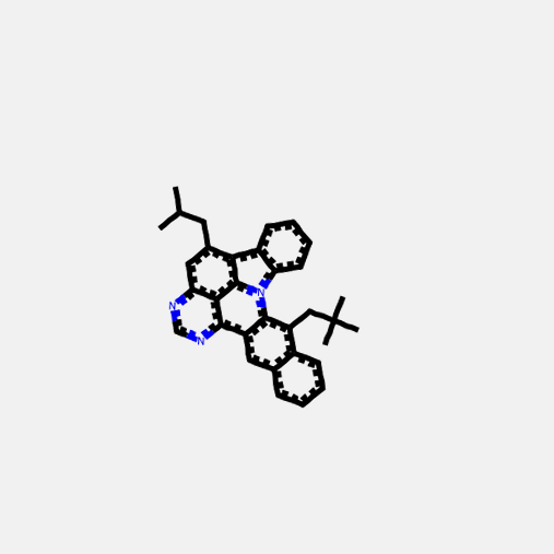 CC(C)Cc1cc2ncnc3c4cc5ccccc5c(CC(C)(C)C)c4n4c5ccccc5c1c4c23